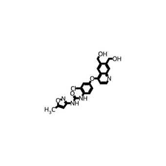 Cc1cc(NC(=O)Nc2ccc(Oc3ccnc4cc(CO)c(CO)cc34)cc2Cl)no1